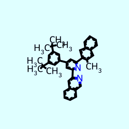 Cc1cc2ccccc2cc1-c1cc(-c2cc(C(C)(C)C)cc(C(C)(C)C)c2)cc(-c2cc3ccccc3cn2)n1